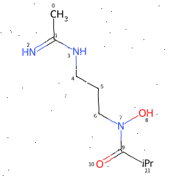 CC(=N)NCCCN(O)C(=O)C(C)C